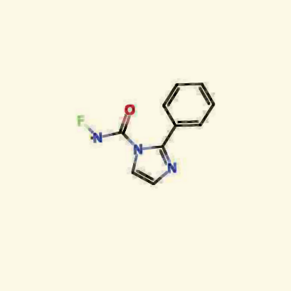 O=C([N]F)n1ccnc1-c1ccccc1